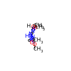 CCCCO/C=C/c1c(C)c2cnc(Nc3ccc(N4CCN(C(=O)OC(C)(C)C)CC4)cn3)nc2n(C2CCCC2)c1=O